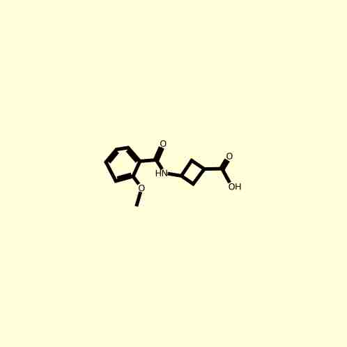 COc1ccccc1C(=O)NC1CC(C(=O)O)C1